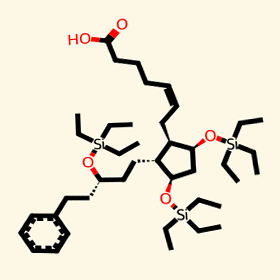 CC[Si](CC)(CC)O[C@@H](CCc1ccccc1)CC[C@@H]1[C@@H](C/C=C\CCCC(=O)O)[C@@H](O[Si](CC)(CC)CC)C[C@H]1O[Si](CC)(CC)CC